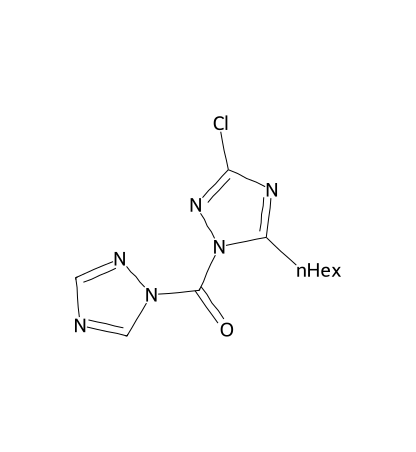 CCCCCCc1nc(Cl)nn1C(=O)n1cncn1